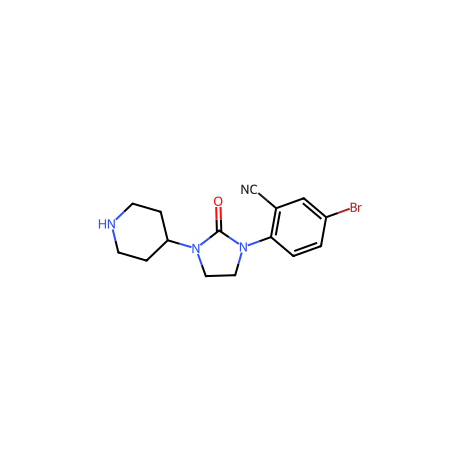 N#Cc1cc(Br)ccc1N1CCN(C2CCNCC2)C1=O